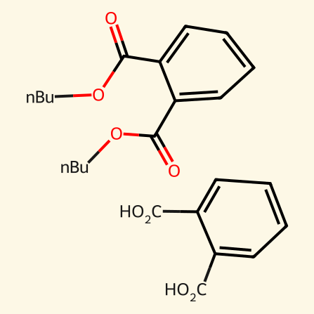 CCCCOC(=O)c1ccccc1C(=O)OCCCC.O=C(O)c1ccccc1C(=O)O